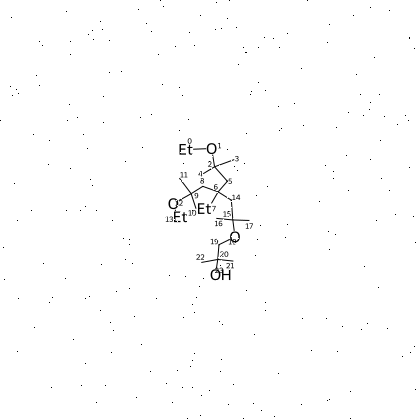 CCOC(C)(C)CC(CC)(CC(C)(C)OCC)CC(C)(C)OCC(C)(C)O